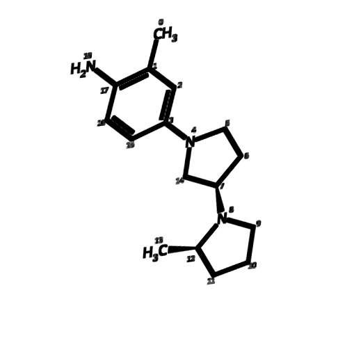 Cc1cc(N2CC[C@@H](N3CCC[C@H]3C)C2)ccc1N